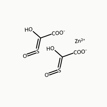 O=S=C(O)C(=O)[O-].O=S=C(O)C(=O)[O-].[Zn+2]